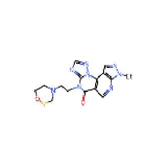 CCn1ncc2c1ncc1c(=O)n(CCN3CCOSC3)c3ncnn3c12